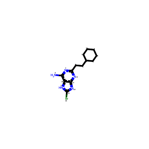 Nc1nc(CCC2CCCCC2)nc2nc(Br)[nH]c12